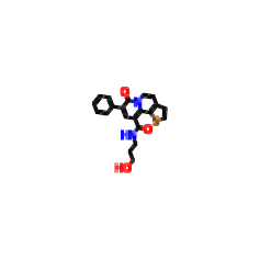 O=C(NCCCO)c1cc(-c2ccccc2)c(=O)n2ccc3ccsc3c12